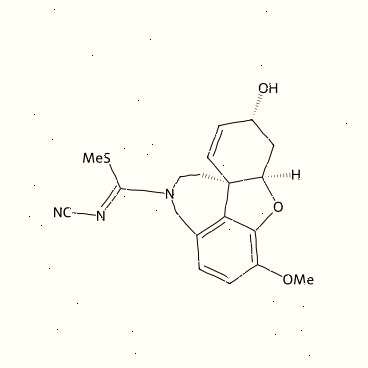 COc1ccc2c3c1O[C@@H]1C[C@@H](O)C=C[C@]31CCN(C(=NC#N)SC)C2